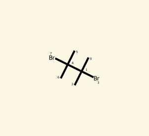 [CH2]C(C)(Br)C(C)(C)Br